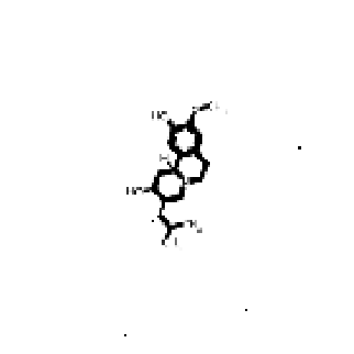 COc1cc2c(cc1O)[C@H]1C[C@H](O)[C@H](CC(C)C)CN1CC2